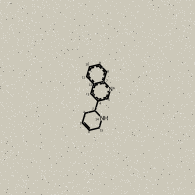 C1=CCC(c2cnc3ccccc3c2)NC1